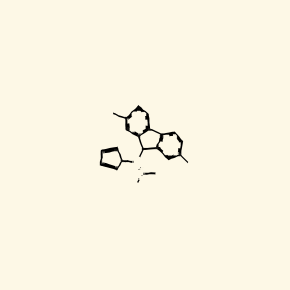 Cc1ccc2c(c1)[CH]([Hf]([CH]1C=CC=C1)=[Si](C)C)c1cc(C)ccc1-2